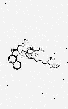 CCOCC1=Nc2cnc3ccccc3c2[N+]1(CC(C)(C)NS(C)(=O)=O)OCCCCCCN(C(=O)[O-])C(C)(C)C